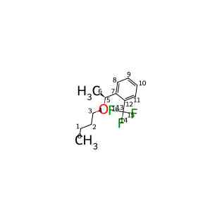 CCCCO[C@@H](C)c1ccccc1C(F)(F)F